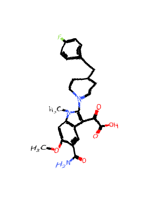 COc1cc2c(cc1C(N)=O)c(C(=O)C(=O)O)c(N1CCC(Cc3ccc(F)cc3)CC1)n2C